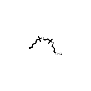 C=CCCCC(C)(C)OCCC(C)(C)OCCCC=O